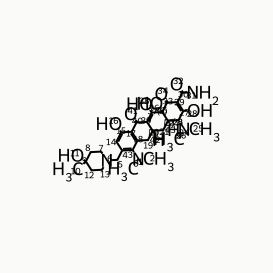 CN(C)c1c(CN2CCC(C)(O)CC2)cc(O)c2c1C[C@H]1C[C@H]3[C@H](N(C)C)C(O)=C(C(N)=O)C(=O)[C@@]3(O)C(O)=C1C2=O